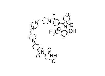 COc1cc(N2CCC(CN3CCN(CC4CCN(c5ccc6c(c5)CN(C5CCC(=O)NC5=O)C6=O)CC4)CC3)CC2)c(F)cc1[C@@H]1N(c2ccccc2O)C(=O)C12CCOCC2